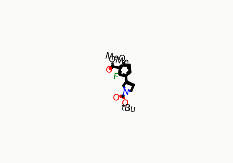 COC(=O)c1c(OC)ccc(C2=CCN(C(=O)OC(C)(C)C)C2)c1F